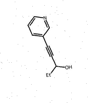 CCC(O)C#Cc1cccnc1